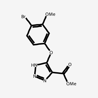 COC(=O)c1nn[nH]c1Oc1ccc(Br)c(OC)c1